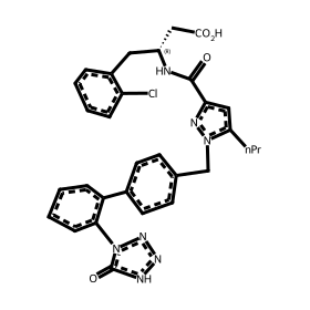 CCCc1cc(C(=O)N[C@@H](CC(=O)O)Cc2ccccc2Cl)nn1Cc1ccc(-c2ccccc2-n2nn[nH]c2=O)cc1